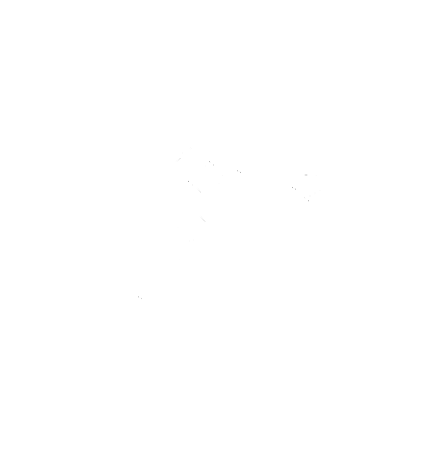 CN(C)CCCOc1ccc(-c2cc(NCCCn3cccn3)nc(S(C)(=O)=O)n2)cc1